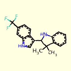 CC1(C)c2ccccc2NC1c1c[nH]c2cc(C(F)(F)F)ccc12